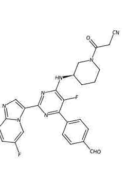 N#CCC(=O)N1CCC[C@@H](Nc2nc(-c3cnc4ccc(F)cn34)nc(-c3ccc(C=O)cc3)c2F)C1